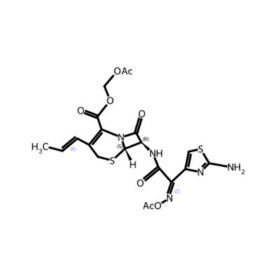 C/C=C/C1=C(C(=O)OCOC(C)=O)N2C(=O)[C@@H](NC(=O)/C(=N\OC(C)=O)c3csc(N)n3)[C@@H]2SC1